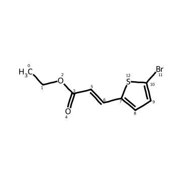 CCOC(=O)/C=C/c1ccc(Br)s1